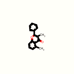 Cc1c(-c2ccccc2)oc2cccc(C)c2c1=O